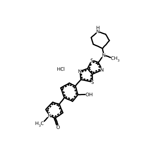 CN(c1nc2sc(-c3ccc(-c4ccn(C)c(=O)c4)cc3O)nc2s1)C1CCNCC1.Cl